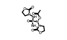 CC(=O)ON(N1CCOC1=O)P(N)(=O)NN1CCOC1=O